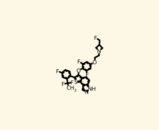 CC(F)(F)c1cc(F)ccc1-c1sc2c(ccc3[nH]ncc32)c1Oc1c(F)cc(OCCN2CC(CF)C2)cc1F